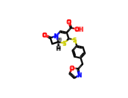 O=C(O)C1=CN2C(=O)C[C@H]2SC1Sc1ccc(Cc2ncco2)cc1